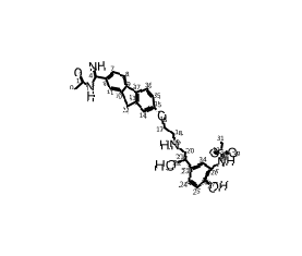 CC(=O)NC(=N)c1ccc2c(c1)Cc1cc(OCCNCC(O)c3ccc(O)c(NS(C)(=O)=O)c3)ccc1-2